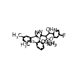 COc1cccc(OC)c1-n1c(-c2cncc(C)c2)nnc1C(C(O)c1ccc(F)cn1)S(N)(=O)=O